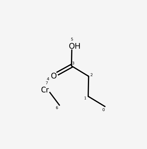 CCCC(=O)O.[CH3][Cr]